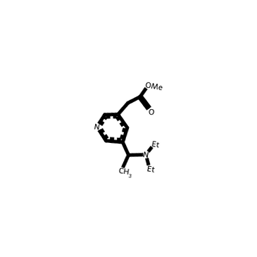 CCN(CC)C(C)c1cncc(CC(=O)OC)c1